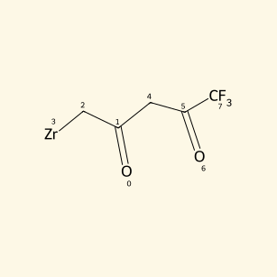 O=C([CH2][Zr])CC(=O)C(F)(F)F